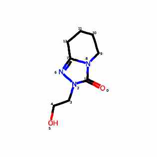 O=c1n(CCO)nc2n1CCCC2